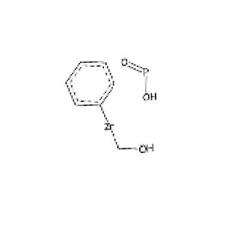 O=PO.O[CH2][Zn][c]1ccccc1